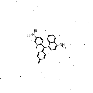 C=c1ccc(=C(c2ccc(N(CC)CC)cc2C)c2ccc(NCC)c3ccccc23)cc1